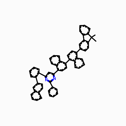 CC1(C)c2ccccc2-c2cc(-c3ccc(-c4ccc(-c5cc(-c6ccccc6-c6ccc7ccccc7c6)nc(-c6ccccc6)n5)c5ccccc45)c4ccccc34)ccc21